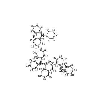 C1=CCC(n2c3ccccc3c3ccc(-c4ccc5c(c4)c4ccccc4n5-c4cc(-c5cccc6c5sc5ccccc56)cc5ccccc45)cc32)C=C1